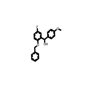 COc1ccc(C(O)c2cc(F)ccc2OCc2ccccc2)cc1